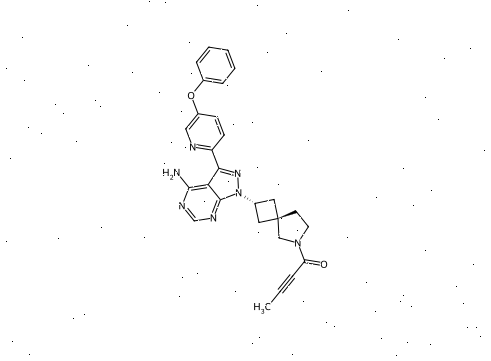 CC#CC(=O)N1CC[C@]2(C1)C[C@@H](n1nc(-c3ccc(Oc4ccccc4)cn3)c3c(N)ncnc31)C2